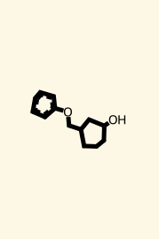 OC1CCCC(COc2ccccc2)C1